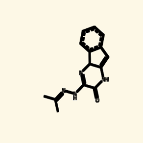 CC(C)=NNC1=NC2C(=Cc3ccccc32)NC1=O